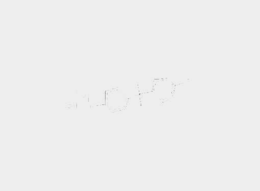 CC(=O)c1ccc(C(C)(C)c2ccc(O[Si](C)(C)C(C)(C)C)cc2)cc1